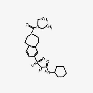 CCN(CC)C(=O)N1CCc2ccc(S(=O)(=O)NC(=O)NC3CCCCC3)cc2CC1